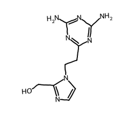 Nc1nc(N)nc(CCn2ccnc2CO)n1